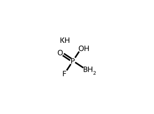 BP(=O)(O)F.[KH]